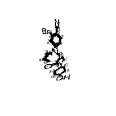 N#Cc1ccc(N2CCC[C@@]3(CCN([C@H]4CC[C@H](O)CC4)C3=O)C2)cc1Br